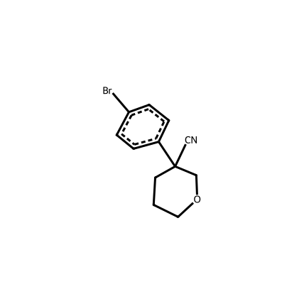 N#CC1(c2ccc(Br)cc2)CCCOC1